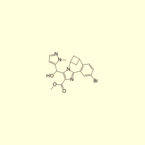 COC(=O)c1nc2n(c1C(O)c1ccnn1C)C1CC(C1)c1ccc(Br)cc1-2